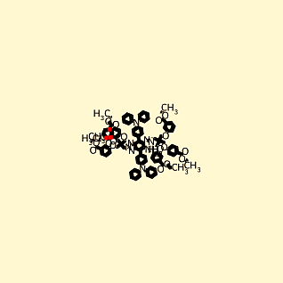 CCOC(=O)c1ccc(OCC(C[NH2+][N-]c2c(N)c(-c3ccc(N(c4ccccc4)c4ccccc4)cc3)c3nn(CC(COc4cccc(C(=O)OCC)c4)(COc4cccc(C(=O)OCC)c4)COc4cccc(C(=O)OCC)c4)nc3c2-c2ccc(N(c3ccccc3)c3ccccc3)cc2)(COc2cccc(C(=O)OCC)c2)COc2cccc(C(=O)OCC)c2)cc1